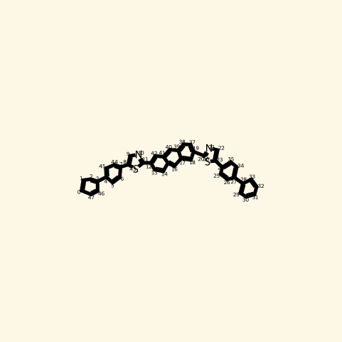 c1ccc(-c2ccc(-c3cnc(-c4ccc5cc6cc(-c7ncc(-c8ccc(-c9ccccc9)cc8)s7)ccc6cc5c4)s3)cc2)cc1